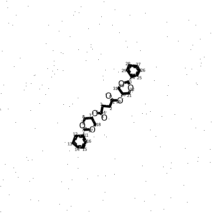 O=C(CCC(=O)O[C@H]1CO[C@@H](c2ccccc2)OC1)O[C@H]1CO[C@@H](c2ccccc2)OC1